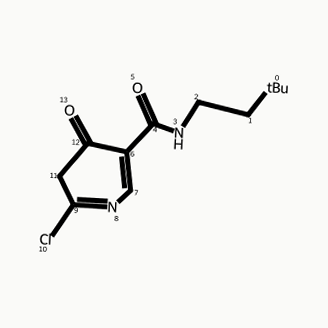 CC(C)(C)CCNC(=O)C1=CN=C(Cl)CC1=O